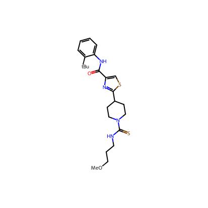 COCCCNC(=S)N1CCC(c2nc(C(=O)Nc3ccccc3C(C)(C)C)cs2)CC1